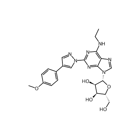 CCNc1nc(-n2cc(-c3ccc(OC)cc3)cn2)nc2c1ncn2[C@@H]1O[C@H](CO)[C@@H](O)[C@H]1O